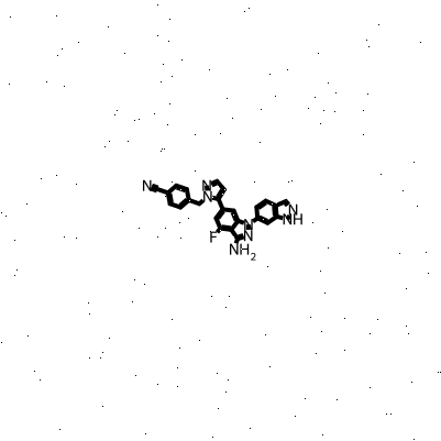 N#Cc1ccc(Cn2nccc2-c2cc(F)c3c(N)nn(-c4ccc5cn[nH]c5c4)c3c2)cc1